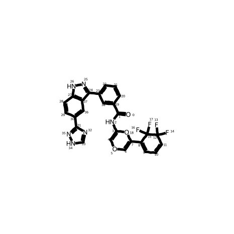 O=C(NC1=COC=C(C2=CC=CC(F)(F)C2(F)F)O1)c1cccc(-c2n[nH]c3ccc(-c4nc[nH]n4)cc23)c1